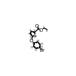 CCOC(=O)c1ccc(Oc2ccc(Br)cc2)s1